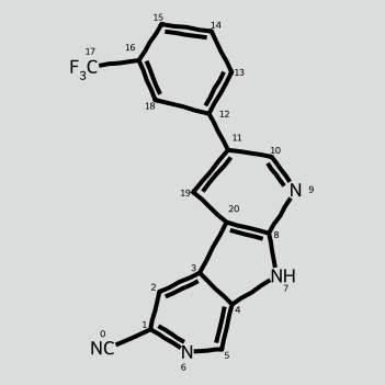 N#Cc1cc2c(cn1)[nH]c1ncc(-c3cccc(C(F)(F)F)c3)cc12